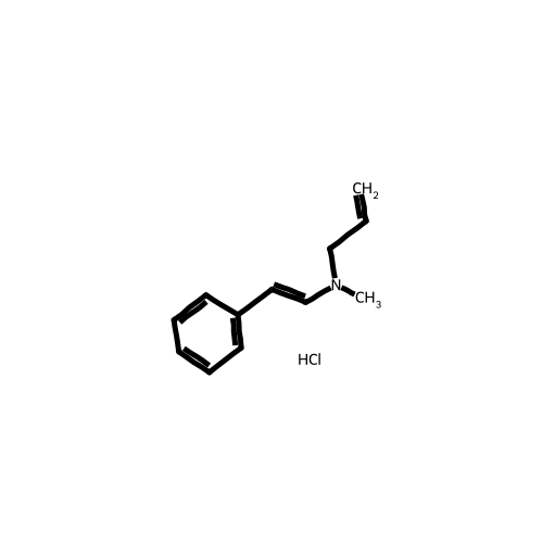 C=CCN(C)C=Cc1ccccc1.Cl